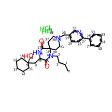 CCCCN1C(=O)[C@@H](CC2(O)CCCCC2)NC(=O)C12CCN(Cc1ccc(-c3ccccc3)nc1)CC2.Cl.Cl